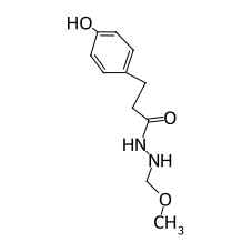 COCNNC(=O)CCc1ccc(O)cc1